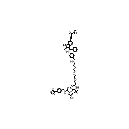 CCNC(=O)C#Cc1ccc2c(c1)NC(=O)/C2=C(\Nc1ccc(CNCCOCCOCCOCCC(=O)N[C@H](C(=O)N2CC(O)C[C@H]2C(=O)NCc2ccc(-c3scnc3C)cc2)C(C)(C)C)cc1)c1ccccc1